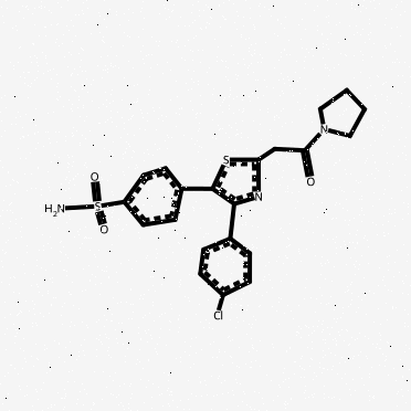 NS(=O)(=O)c1ccc(-c2sc(CC(=O)N3CCCC3)nc2-c2ccc(Cl)cc2)cc1